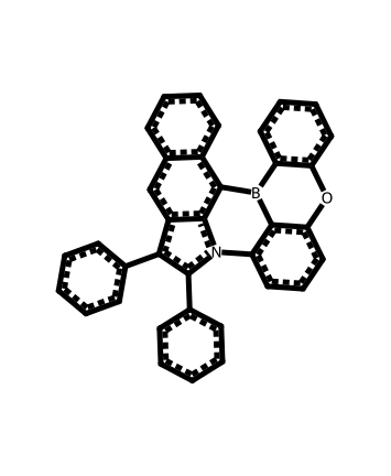 c1ccc(-c2c(-c3ccccc3)n3c4c(c5ccccc5cc24)B2c4ccccc4Oc4cccc-3c42)cc1